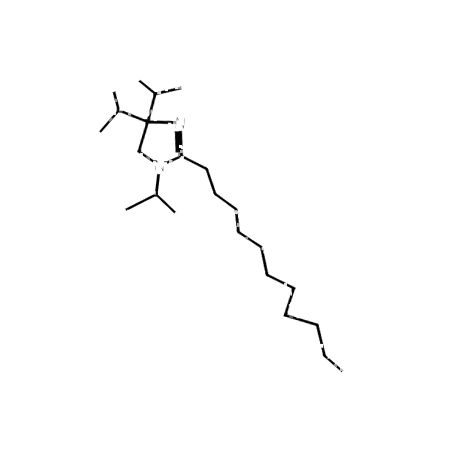 CCCCCCCCCCCC1=NC(C(C)C)(C(C)C)CN1C(C)C